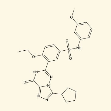 CCOc1ccc(S(=O)(=O)Nc2cccc(OC)c2)cc1-c1nn2c(C3CCCC3)nnc2c(=O)[nH]1